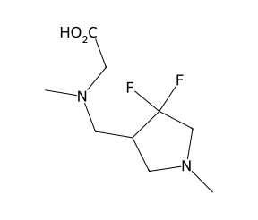 CN(CC(=O)O)CC1CN(C)CC1(F)F